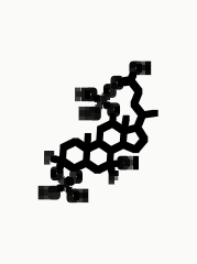 CC(CCC(=O)O)C1CCC2C3C(CC(OP(=O)(O)O)C12C)C1(C)CCC(F)(OP(=O)(O)O)CC1CC3(O)F